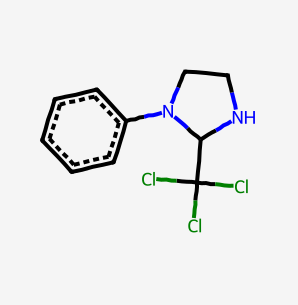 ClC(Cl)(Cl)C1NCCN1c1ccccc1